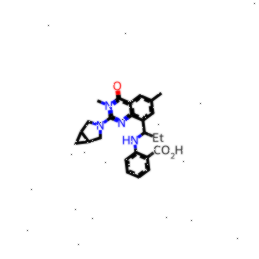 CCC(Nc1ccccc1C(=O)O)c1cc(C)cc2c(=O)n(C)c(N3CC4CC4C3)nc12